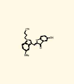 COc1ccc2c(c1)c(/C=C1\Oc3ccc(O)cc3C1=O)cn2CCCC#N